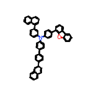 c1cc(-c2cccc3ccccc23)cc(N(c2ccc(-c3ccc(-c4ccc5ccccc5c4)cc3)cc2)c2ccc(-c3cccc4c3oc3ccccc34)cc2)c1